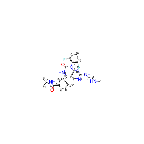 CNCCNc1ncc2c(n1)N(c1c(F)cccc1F)C(=O)NC2c1cc(C(=O)NC(C)C)ccc1C